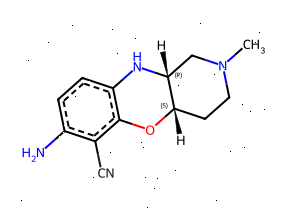 CN1CC[C@@H]2Oc3c(ccc(N)c3C#N)N[C@@H]2C1